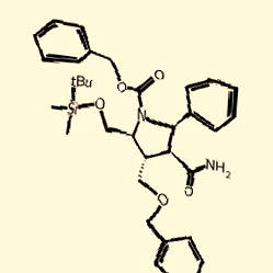 CC(C)(C)[Si](C)(C)OC[C@@H]1[C@@H](COCc2ccccc2)[C@H](C(N)=O)[C@H](c2ccccc2)N1C(=O)OCc1ccccc1